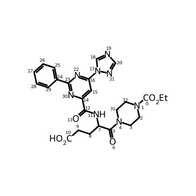 CCOC(=O)N1CCN(C(=O)C(CCC(=O)O)NC(=O)c2cc(-n3cncn3)nc(-c3ccccc3)n2)CC1